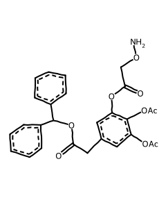 CC(=O)Oc1cc(CC(=O)OC(c2ccccc2)c2ccccc2)cc(OC(=O)CON)c1OC(C)=O